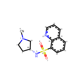 N#CN1CC[C@@H](NS(=O)(=O)c2cccc3cccnc23)C1